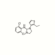 CCc1sccc1N1CCN(C)C1Nc1c(Cl)cccc1Cl